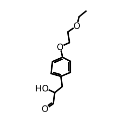 CCOCCOc1ccc(CC(O)C=O)cc1